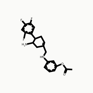 CC(=O)Oc1cccc(NCC2=CCC(c3cc(F)c(F)cc3F)C(N)C2)c1